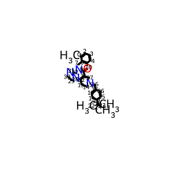 Cc1ccccc1CN1C(=O)C2=C(CCN(CC3=CCC(C(C)(C)C)C=C3)C2)N2CCN=C12